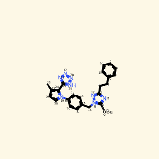 CCCCc1nc(CCc2ccccc2)nn1Cc1ccc(-n2ccc(C)c2-c2nnn[nH]2)cc1